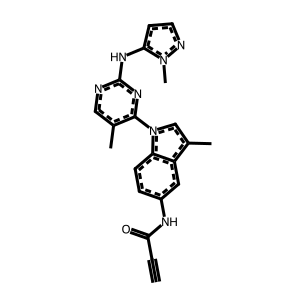 C#CC(=O)Nc1ccc2c(c1)c(C)cn2-c1nc(Nc2ccnn2C)ncc1C